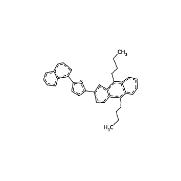 CCCCc1c2ccccc2c(CCCC)c2cc(-c3ccc(-c4cccc5ccccc45)s3)ccc12